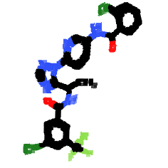 CC(NC(=O)c1cc(Cl)cc(C(F)(F)F)c1)c1ncnn1-c1ccc(NC(=O)c2ccccc2Cl)cn1